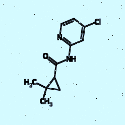 CC1(C)CC1C(=O)Nc1cc(Cl)ccn1